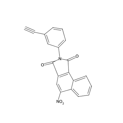 C#Cc1cccc(N2C(=O)c3cc([N+](=O)[O-])c4ccccc4c3C2=O)c1